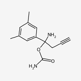 C#CCC(N)(OC(N)=O)c1cc(C)cc(C)c1